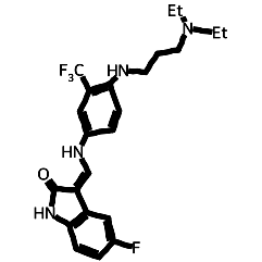 CCN(CC)CCCNc1ccc(NC=C2C(=O)Nc3ccc(F)cc32)cc1C(F)(F)F